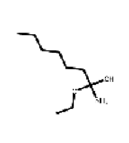 CCCCCCC(N)(O)OCC